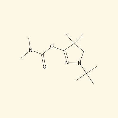 CN(C)C(=O)OC1=NN(C(C)(C)C)CC1(C)C